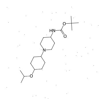 CC(C)OC1CCC(N2CCC(NC(=O)OC(C)(C)C)CC2)CC1